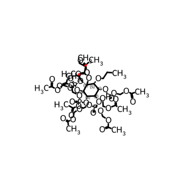 CCCO[C@H]1[C@H](OP(=O)(OCOC(C)=O)OCOC(C)=O)[C@@H](OP(=O)(OCOC(C)=O)OCOC(C)=O)[C@H](OP(=O)(OCOC(C)=O)OCOC(C)=O)[C@@H](OP(=O)(OCOC(C)=O)OCOC(C)=O)[C@@]1(CCC)OC(=O)CCC